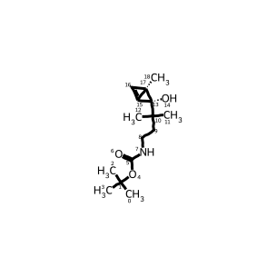 CC(C)(C)OC(=O)NCCC(C)(C)[C@@]1(O)C2=C[C@]21C